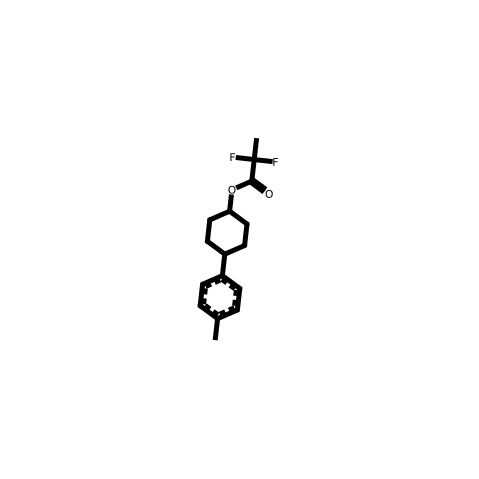 Cc1ccc(C2CCC(OC(=O)C(C)(F)F)CC2)cc1